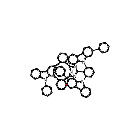 c1ccc(-c2ccc3c4ccccc4n(-c4cccc(-n5c6ccccc6c6ccc(-c7ccccc7)cc65)c4-c4nc5nc(n4)c4ccccc4c4cc(cc6c7ccccc7n(-c7ccccc7)c46)c4ccccc54)c3c2)cc1